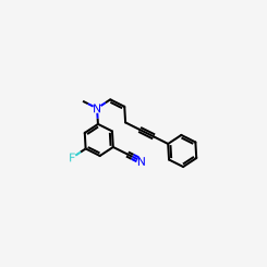 CN(/C=C\CC#Cc1ccccc1)c1cc(F)cc(C#N)c1